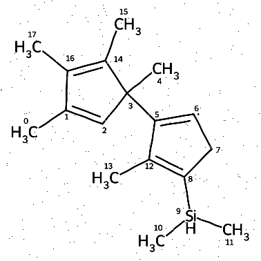 CC1=CC(C)(C2=[C]CC([SiH](C)C)=C2C)C(C)=C1C